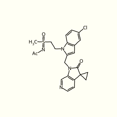 CC(=O)N=S(C)(=O)CCn1c(CN2C(=O)C3(CC3)c3ccncc32)cc2cc(Cl)ccc21